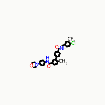 Cc1ccc(C(=O)Nc2ccc(N3CCOCC3)cc2)cc1-c1ccc(C(=O)NCc2ccc(Cl)c(C(F)(F)F)c2)cc1